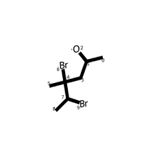 CC([O])CC(C)(Br)C(C)Br